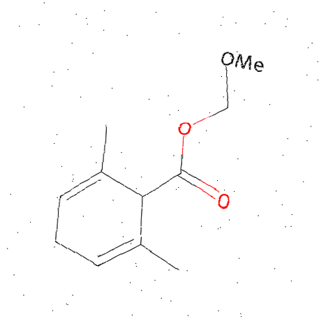 COCOC(=O)C1C(C)=CCC=C1C